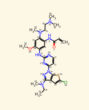 C=CC(=O)Nc1cc(Nc2nccc(-n3nc(N(C)CC)c4cc(Cl)sc43)n2)c(OC)cc1N(C)CCN(C)C